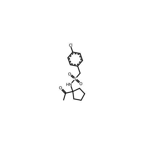 CC(=O)C1(NS(=O)(=O)Cc2ccc(Cl)cc2)CCCC1